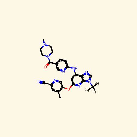 [2H]C([2H])([2H])n1cnc2c(Nc3ccc(C(=O)N4CCN(C)CC4)cn3)cc(Oc3cnc(C#N)cc3C)nc21